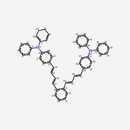 C1=CC(N(c2ccccc2)c2ccc(/C=C/C=C/c3ccccc3/C=C/C=C/c3ccc(N(c4ccccc4)c4ccccc4)cc3)cc2)=CCC1